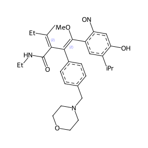 CCNC(=O)C(=C(/C)CC)/C(=C(\OC)c1cc(C(C)C)c(O)cc1N=O)c1ccc(CN2CCOCC2)cc1